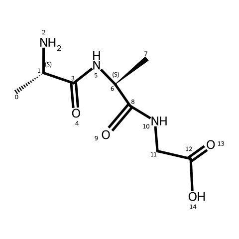 C[C@H](N)C(=O)N[C@@H](C)C(=O)NCC(=O)O